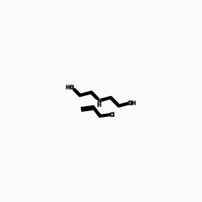 C=CCCl.OCCNCCO